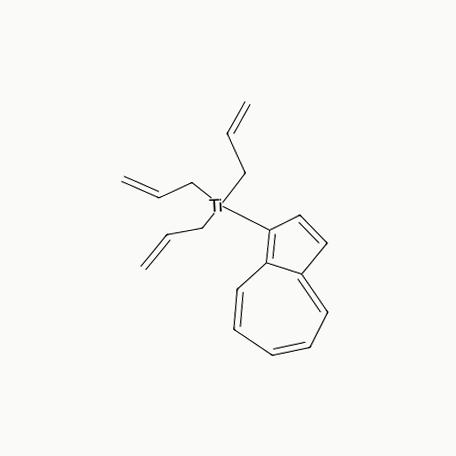 C=C[CH2][Ti]([CH2]C=C)([CH2]C=C)[c]1ccc2cccccc1-2